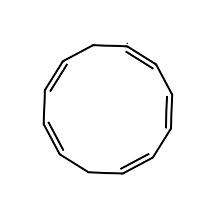 [C]1=CC=CC=CCC=CC=CC1